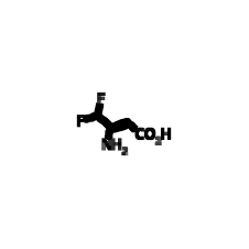 N/C(=C\C(=O)O)C(F)F